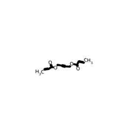 CC=CC(=O)OCC#CCOC(=O)C=CC